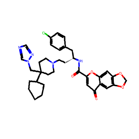 O=C(N[C@H](CCN1CCC(Cn2cncn2)(C2CCCCC2)CC1)Cc1ccc(Cl)cc1)c1cc(=O)c2cc3c(cc2o1)OCO3